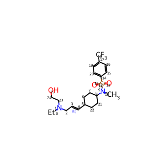 CCN(C/C=C/C1CCC(N(C)S(=O)(=O)c2ccc(C(F)(F)F)cc2)CC1)CCO